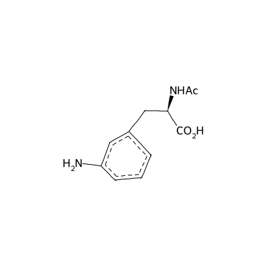 CC(=O)N[C@H](Cc1cccc(N)c1)C(=O)O